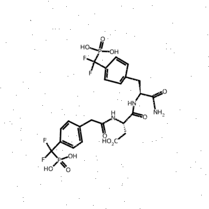 NC(=O)[C@H](Cc1ccc(C(F)(F)P(=O)(O)O)cc1)NC(=O)[C@H](CC(=O)O)NC(=O)Cc1ccc(C(F)(F)P(=O)(O)O)cc1